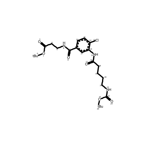 CC(C)(C)OC(=O)CCNC(=O)c1ccc(Cl)c(NC(=O)CCCCNC(=O)OC(C)(C)C)c1